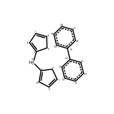 C1=CC[C]([Hf][C]2=CC=CC2)=C1.c1ccc(-c2ccccc2)cc1